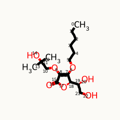 CCCCCCOC1=C(OCC(C)(C)O)C(=O)O[C@@H]1[C@@H](O)CO